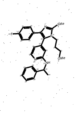 COCCCn1c(SC)nc(-c2ccc(F)cc2)c1-c1ccnc(NC(C)c2ccccc2)c1